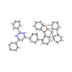 c1ccc(-c2cc(-c3ccc(-c4cccc5c4-c4c(sc6ccccc46)C54c5ccccc5-c5ccccc54)cc3)nc(-c3ccccc3)n2)cc1